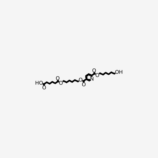 O=C(O)CCCCC(=O)OCCCCCCOC(=O)c1ccc(C(=O)OCCCCCCO)nc1